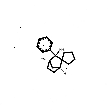 N[C@]1(c2ccccc2)[C@@H]2CC[C@@H](C2)C12CCCC2